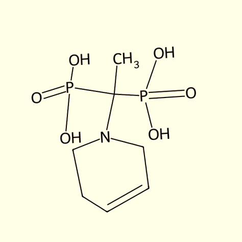 CC(N1CC=CCC1)(P(=O)(O)O)P(=O)(O)O